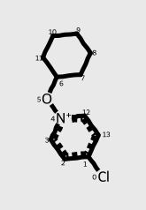 Clc1cc[n+](OC2CCCCC2)cc1